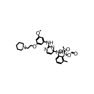 COc1cc(Nc2nccc(Nc3cccc(C)c3N(OC=O)S(C)(=O)=O)n2)cc(OCCN2CCCCC2)c1